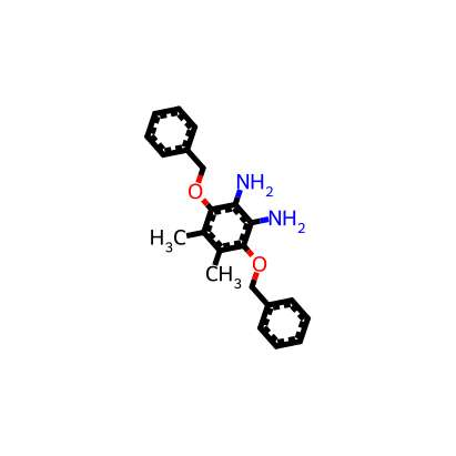 Cc1c(C)c(OCc2ccccc2)c(N)c(N)c1OCc1ccccc1